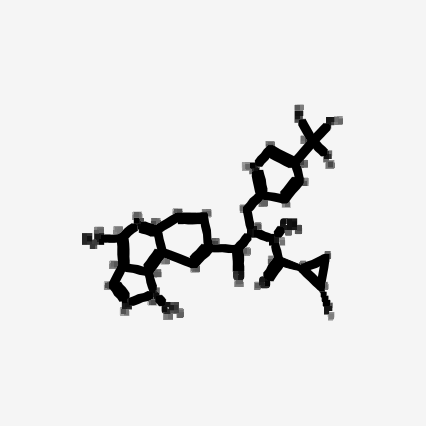 CN(C(=O)[C@H]1C[C@@H]1F)N(Cc1ccc(C(F)(F)F)cn1)C(=O)c1ccc2nc(N)c3cnn(C)c3c2c1